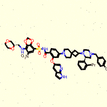 COc1ccc(CN2CCN(C3CC4(CCN(c5ccc(C(=O)NS(=O)(=O)c6cc([N+](=O)[O-])c(NC[C@H]7COCCO7)c7c6OCO7)c(Oc6cnc7[nH]ccc7c6)c5)CC4)C3)[C@H](c3ccccc3C(C)C)C2)cc1